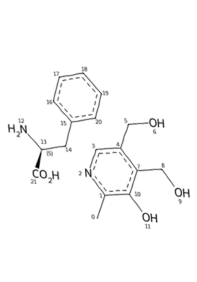 Cc1ncc(CO)c(CO)c1O.N[C@@H](Cc1ccccc1)C(=O)O